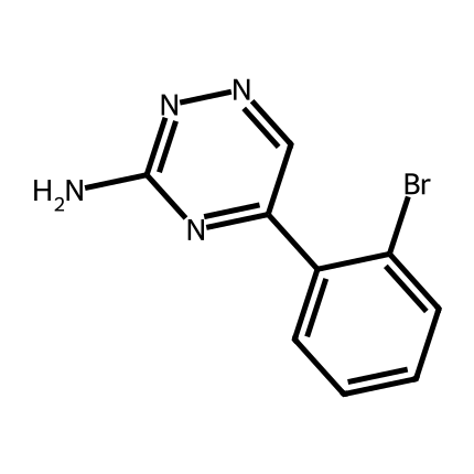 Nc1nncc(-c2ccccc2Br)n1